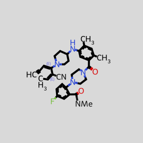 C#C/C=C(\C(C#N)=C/C)N1CCC(Nc2cc(C(=O)N3CCN(c4ccc(F)cc4C(=O)NC)CC3)c(C)cc2C)CC1